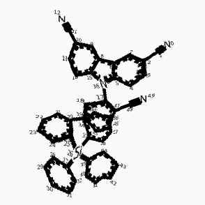 N#Cc1ccc2c(c1)c1cc(C#N)ccc1n2-c1cc(-c2ccccc2[Si](c2ccccc2)(c2ccccc2)c2ccccc2)ccc1C#N